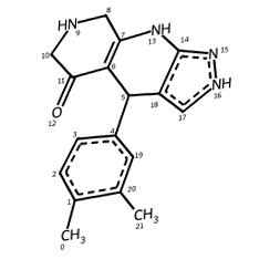 Cc1ccc(C2C3=C(CNCC3=O)Nc3n[nH]cc32)cc1C